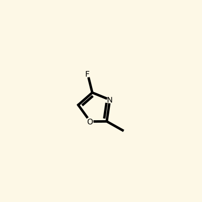 Cc1nc(F)co1